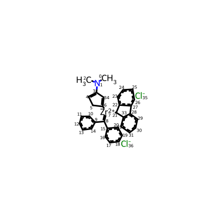 CN(C)C1=CC[C]([Zr+2](=[C](c2ccccc2)c2ccccc2)[CH]2c3ccccc3-c3ccccc32)=C1.[Cl-].[Cl-]